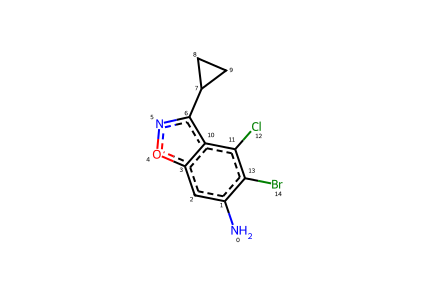 Nc1cc2onc(C3CC3)c2c(Cl)c1Br